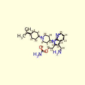 CC(C)=C1CCC(N2CCC(n3c(CCOC(N)=O)c(CN)c4cccnc43)CC2)CC1